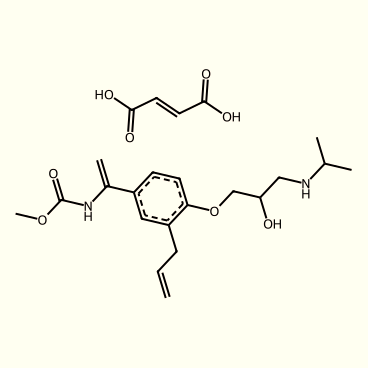 C=CCc1cc(C(=C)NC(=O)OC)ccc1OCC(O)CNC(C)C.O=C(O)/C=C/C(=O)O